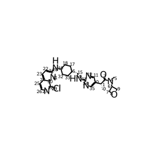 C[C@@H](C(=O)N(C)C1COC1)c1cnc(NC[C@H]2CC[C@H](Nc3ccc4ccnc(Cl)c4n3)CC2)nc1